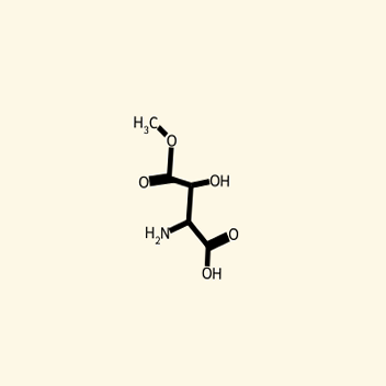 COC(=O)C(O)C(N)C(=O)O